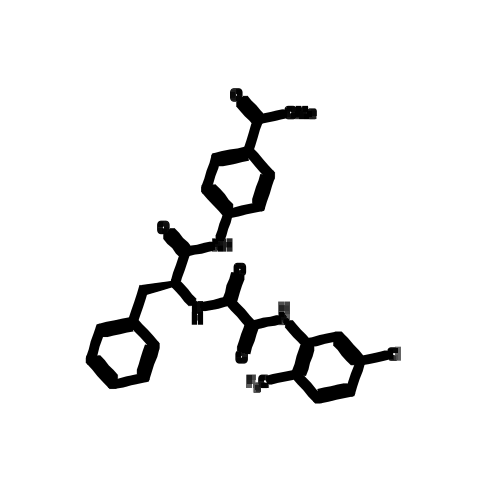 COC(=O)c1ccc(NC(=O)[C@H](Cc2ccccc2)NC(=O)C(=O)Nc2cc(Cl)ccc2C(F)(F)F)cc1